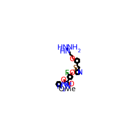 COc1ccccc1NC(=O)C(C(N)=O)c1ccc(Oc2ccnc3cc(-c4cccc(OCCCNC(=N)N)c4)sc23)c(F)c1